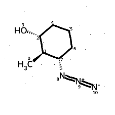 C[C@H]1[C@H](O)CCC[C@@H]1N=[N+]=[N-]